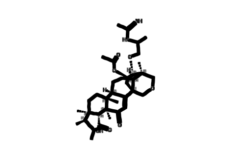 CC(=N)NC(C)CO[C@H]1[C@H](OC(C)=O)C[C@]23COC[C@@]1(C)[C@@H]2CC[C@H]1C3=CC(=O)[C@@]2(C)[C@H](C(=O)O)[C@@](C)([C@H](C)C(C)C)CC[C@]12C